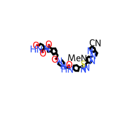 CNc1cc(-n2ccc3cc(C#N)cnc32)ncc1-c1nnc(C2CCC(NC(=O)CN3CCN(C(=O)Cc4ccc5c(c4)CN(C4CCC(=O)NC4=O)C5=O)CC3)CC2)s1